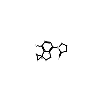 O=C1CCCN1c1ccc(O)c2c1CCC21CC1